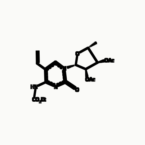 C=Cc1cn([C@@H]2O[C@H](C)[C@@H](OC(C)=O)[C@H]2OC(C)=O)c(=O)nc1NC(=O)OCC